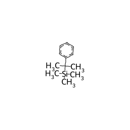 CC(C)(c1ccccc1)[Si](C)(C)C